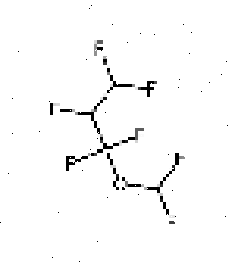 FC(F)OC(F)(F)C(F)C(F)F